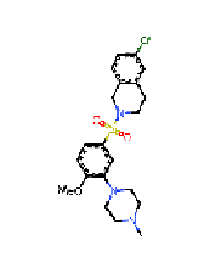 COc1ccc(S(=O)(=O)N2CCc3cc(Cl)ccc3C2)cc1N1CCN(C)CC1